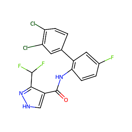 O=C(Nc1ccc(F)cc1-c1ccc(Cl)c(Cl)c1)c1c[nH]nc1C(F)F